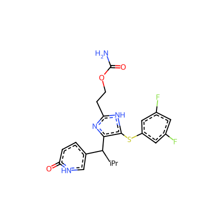 CC(C)C(c1ccc(=O)[nH]c1)c1nc(CCOC(N)=O)[nH]c1Sc1cc(F)cc(F)c1